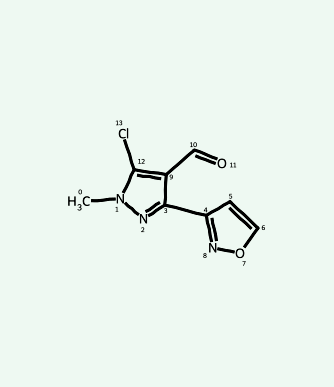 Cn1nc(-c2ccon2)c(C=O)c1Cl